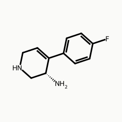 N[C@@H]1CNCC=C1c1ccc(F)cc1